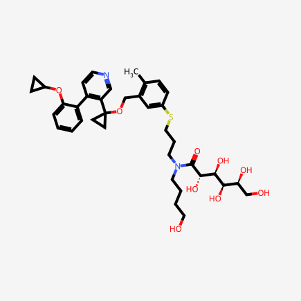 Cc1ccc(SCCCN(CCCCO)C(=O)[C@@H](O)[C@@H](O)[C@H](O)[C@@H](O)CO)cc1COC1(c2cnccc2-c2ccccc2OC2CC2)CC1